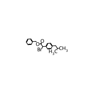 CC(C)Cc1ccc(C(Br)C(=O)OCc2ccccc2)cc1